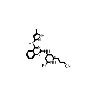 CCC1CC(Nc2nc(Nc3cc(C)[nH]n3)c3ccccc3n2)C[C@@H](CCCC#N)N1